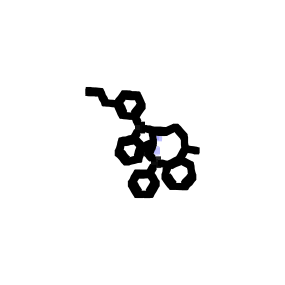 C=CCc1cccc(-n2c3/c(c4ccccc42)=C/N(c2ccccc2)C2=C(CC=CC=C2)C(C)CC/C=3)c1